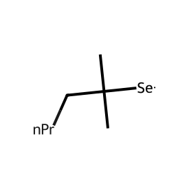 CCCCC(C)(C)[Se]